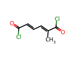 C/C(=C\C=C\C(=O)Cl)C(=O)Cl